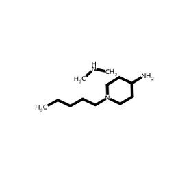 CCCCCN1CCC(N)CC1.CNC